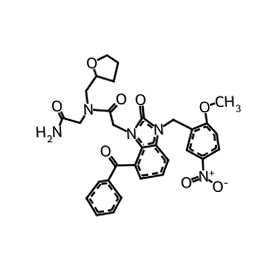 COc1ccc([N+](=O)[O-])cc1Cn1c(=O)n(CC(=O)N(CC(N)=O)CC2CCCO2)c2c(C(=O)c3ccccc3)cccc21